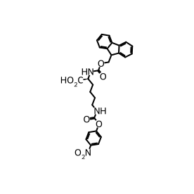 O=C(N[C@@H](CCCCNC(=O)Oc1ccc([N+](=O)[O-])cc1)C(=O)O)OCC1c2ccccc2-c2ccccc21